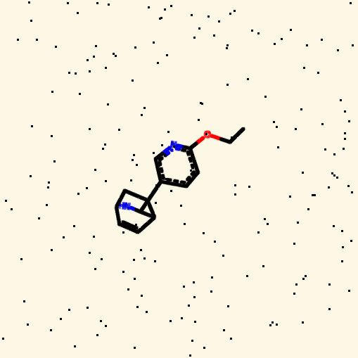 CCOc1ccc(C2NC3C=CC2CC3)cn1